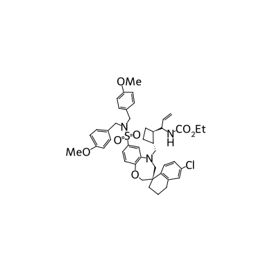 C=CC(NC(=O)OCC)[C@@H]1CC[C@H]1CN1C[C@@]2(CCCc3cc(Cl)ccc32)COc2ccc(S(=O)(=O)N(Cc3ccc(OC)cc3)Cc3ccc(OC)cc3)cc21